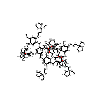 CCc1cc(OCC[N+](CC)(CC)CC)c(Cc2cc(OCC[N+](CC)(CC)CC)c(Cc3cc(OCC[N+](CC)(CC)CC)c(Cc4cc(OCC[N+](CC)(CC)CC)c(Cc5cc(OCC[N+](CC)(CC)CC)c(C)cc5OCC[N+](CC)(CC)CC)cc4OCC[N+](CC)(CC)CC)cc3OCC[N+](CC)(CC)CC)cc2OCC[N+](CC)(CC)CC)cc1OCC[N+](CC)(CC)CC